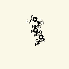 O=C(Nc1cc(NC(=O)C(F)F)c(F)cc1F)c1cc(NC(=O)[C@H]2[C@H](c3ccc(F)c(C(F)(F)F)c3)C2(Cl)Cl)cc(F)c1Cl